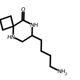 NCCCCC1CNC2(CCC2)C(=O)N1